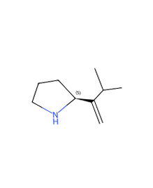 C=C(C(C)C)[C@@H]1CCCN1